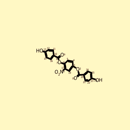 O=C(Oc1ccc(OC(=O)c2ccc(O)cc2)c([N+](=O)[O-])c1)c1ccc(O)cc1